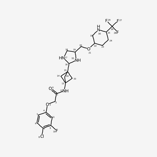 O=C(COc1ccc(Cl)c(F)c1)NC12CC(C3NCC(COC4CCC(C(F)(F)F)NC4)N3)(C1)C2